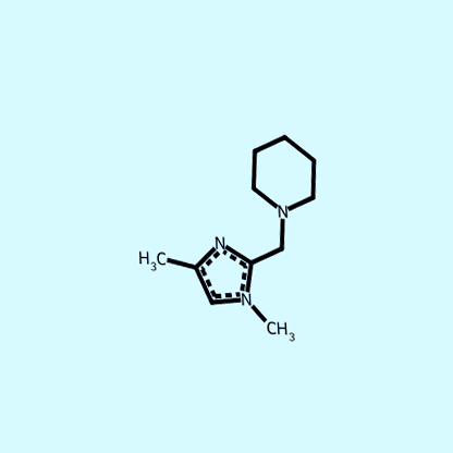 Cc1cn(C)c(CN2CCCCC2)n1